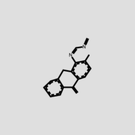 C=N/C=N\c1c(C)ccc2c1Cc1ccccc1C2=C